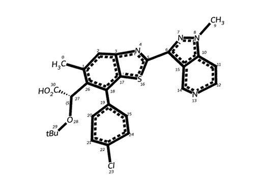 Cc1cc2nc(-c3nn(C)c4ccncc34)sc2c(-c2ccc(Cl)cc2)c1[C@H](OC(C)(C)C)C(=O)O